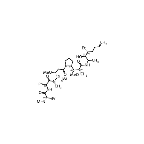 C=CCC[C@@H](CC)[C@H](O)C(C)NC(=O)[C@H](C)[C@@H](OC)[C@@H]1CCCN1C(=O)CC(OC)[C@H]([C@@H](C)CC)N(C)C(=O)[C@@H](NC(=O)[C@@H](NC)C(C)C)C(C)C